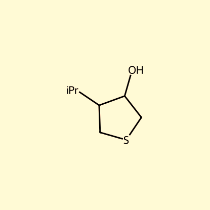 CC(C)C1CSCC1O